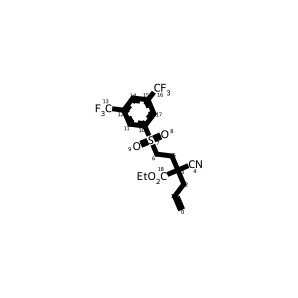 C=CCC(C#N)(CCS(=O)(=O)c1cc(C(F)(F)F)cc(C(F)(F)F)c1)C(=O)OCC